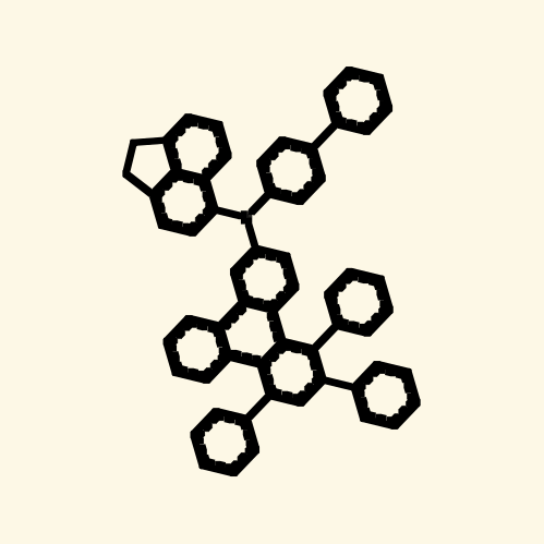 c1ccc(-c2ccc(N(c3ccc4c(c3)c3ccccc3c3c(-c5ccccc5)cc(-c5ccccc5)c(-c5ccccc5)c43)c3ccc4c5c(cccc35)CC4)cc2)cc1